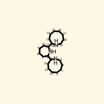 C1CCCNC(C2CCCCC(C3CCCCCCCN3)N2)CCC1